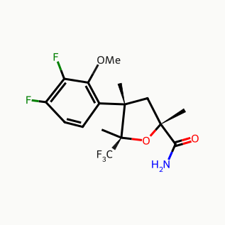 COc1c([C@]2(C)C[C@](C)(C(N)=O)O[C@@]2(C)C(F)(F)F)ccc(F)c1F